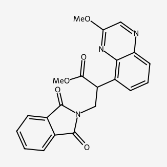 COC(=O)C(CN1C(=O)c2ccccc2C1=O)c1cccc2ncc(OC)nc12